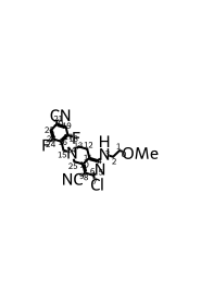 COCCNc1nc(Cl)c(C#N)c2c1CCN(Cc1c(F)cc(C#N)cc1F)C2